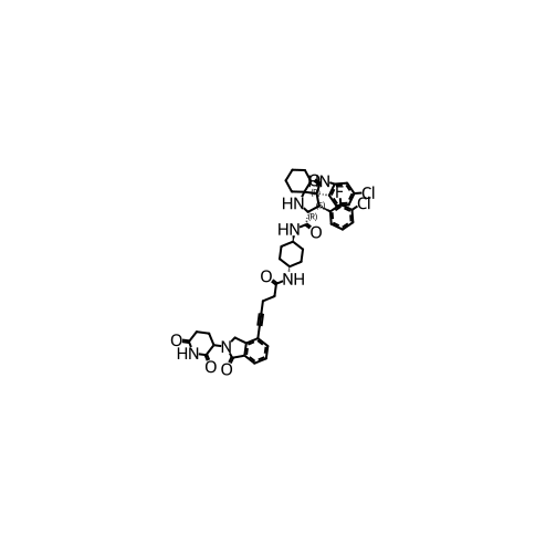 O=C1CCC(N2Cc3c(C#CCCC(=O)N[C@H]4CC[C@H](NC(=O)[C@@H]5NC6(CCCCC6)[C@@]6(C(=O)Nc7cc(Cl)ccc76)[C@H]5c5cccc(Cl)c5F)CC4)cccc3C2=O)C(=O)N1